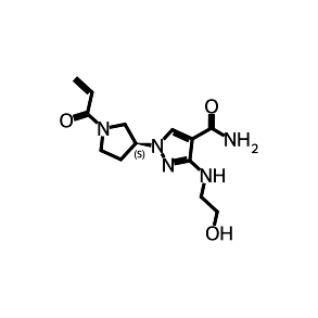 C=CC(=O)N1CC[C@H](n2cc(C(N)=O)c(NCCO)n2)C1